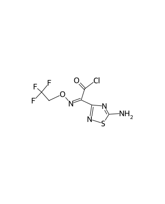 Nc1nc(C(=NOCC(F)(F)F)C(=O)Cl)ns1